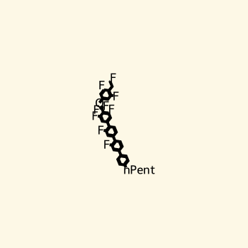 CCCCCc1ccc(-c2ccc(-c3ccc(-c4cc(F)c(C(F)(F)Oc5cc(F)c(CCF)c(F)c5)c(F)c4)c(F)c3)c(F)c2)cc1